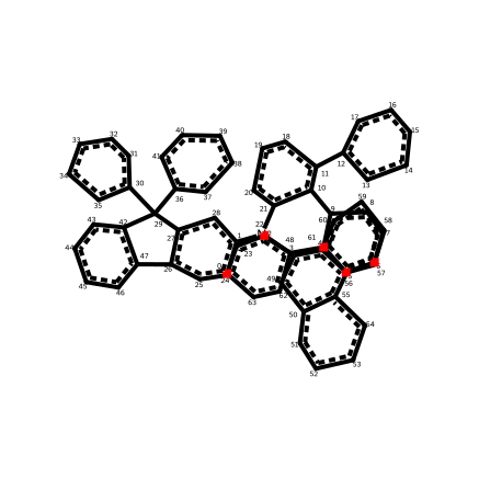 c1ccc(-c2ccccc2-c2c(-c3ccccc3)cccc2N(c2ccc3c(c2)C(c2ccccc2)(c2ccccc2)c2ccccc2-3)c2cc3ccccc3c3ccccc23)cc1